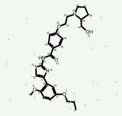 CCCOc1ccc(OC)c(-c2csc(NC(=O)c3ccc(OCCN4CCCC4CO)cc3)n2)c1